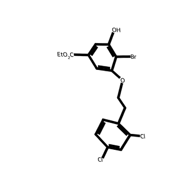 CCOC(=O)c1cc(O)c(Br)c(OCCc2ccc(Cl)cc2Cl)c1